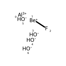 [Al+3].[Be+][F].[OH-].[OH-].[OH-].[OH-]